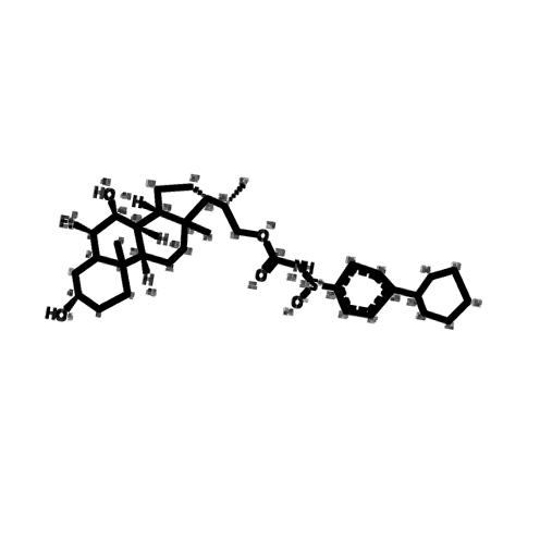 CC[C@@H]1C2C[C@H](O)CCC2(C)[C@H]2CCC3(C)[C@@H]([C@H](C)COC(=O)N[S+]([O-])c4ccc(C5CCCCC5)cc4)CC[C@H]3[C@H]2[C@@H]1O